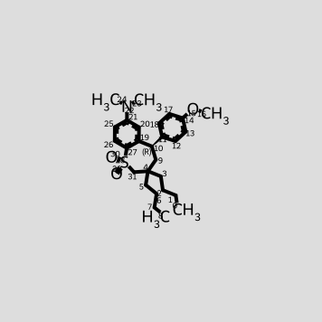 CCCCC1(CCCC)C[C@H](c2ccc(OC)cc2)c2cc(N(C)C)ccc2S(=O)(=O)C1